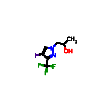 CC(O)Cn1cc(I)c(C(F)(F)F)n1